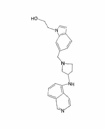 OCCn1ccc2ccc(CN3CCC(Nc4cccc5cnccc45)C3)cc21